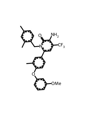 COc1cccc(Oc2ccc(-c3cc(C(F)(F)F)c(N)c(=O)n3Cc3ccc(C)cc3C)cc2C)c1